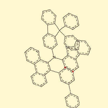 c1ccc(-c2cccc(-c3c(N(c4ccc5c(c4)C(c4ccccc4)(c4ccccc4)c4ccccc4-5)c4cccc5c4sc4ccccc45)c4ccccc4c4ccccc34)c2)cc1